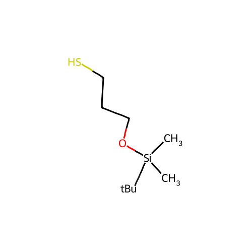 CC(C)(C)[Si](C)(C)OCCCS